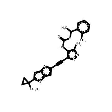 Cc1ccccc1C(C)OC(=O)Nc1c(N)nsc1C#Cc1cc2sc(C3(C(=O)O)CC3)cc2s1